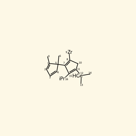 CC1=CC=CC1(C)C1=[C]([Zr])C[C]([GeH]([CH3])[CH3])=C1C(C)C